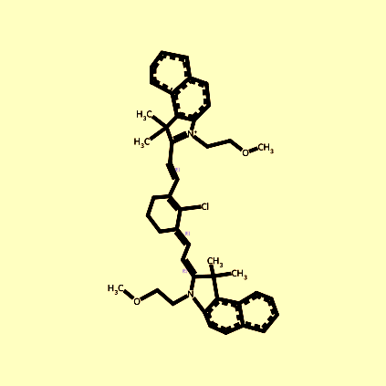 COCCN1/C(=C/C=C2\CCCC(/C=C/C3=[N+](CCOC)c4ccc5ccccc5c4C3(C)C)=C2Cl)C(C)(C)c2c1ccc1ccccc21